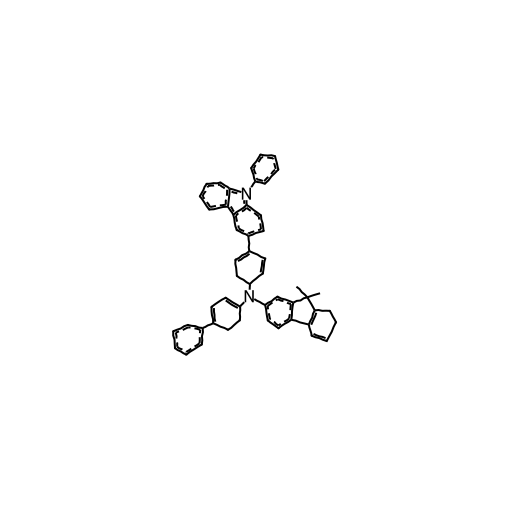 CC1(C)C2=C(C=CCC2)c2ccc(N(C3=CC=C(c4ccccc4)CC3)C3C=CC(c4ccc5c(c4)c4ccccc4n5-c4ccccc4)=CC3)cc21